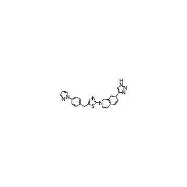 c1cnn(-c2ccc(Cc3cnc(N4CCc5ccc(-c6c[nH]nn6)cc5C4)s3)cc2)c1